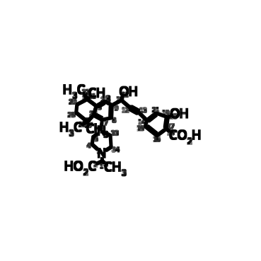 CC(C(=O)O)N1CCN(c2cc(C(O)C#Cc3ccc(C(=O)O)c(O)c3)cc3c2C(C)(C)CCC3(C)C)CC1